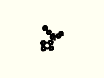 c1ccc(-c2ccc(-c3cc(-c4ccc5c(c4)Cc4ccccc4-c4ccccc4Cc4ccccc4-5)nc(-c4ccc5ccccc5c4)n3)cc2)cc1